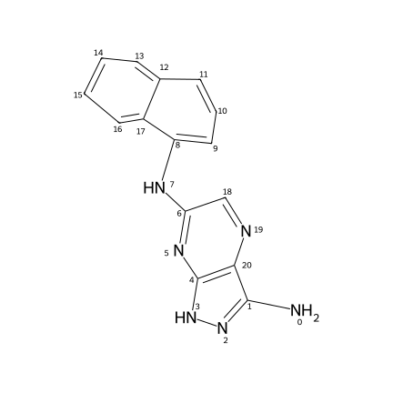 Nc1n[nH]c2nc(Nc3cccc4ccccc34)cnc12